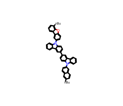 CCCCc1ccc2cc(-n3c4ccccc4c4cc(-c5ccc6c(c5)c5ccccc5n6-c5ccc6oc7c(CCCC)cccc7c6c5)ccc43)ccc2c1